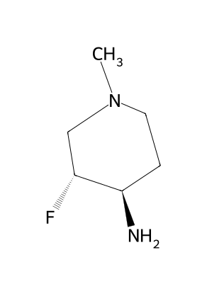 CN1CC[C@@H](N)[C@H](F)C1